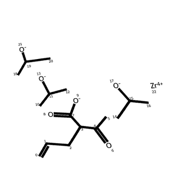 C=CCC(C(C)=O)C(=O)[O-].CC(C)[O-].CC(C)[O-].CC(C)[O-].[Zr+4]